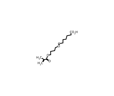 C=C(C)C(=O)OCCCCOOCCCCCC(=O)O